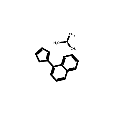 C1=CCC(c2cccc3ccccc23)=C1.[CH3][Pt]([CH3])[CH3]